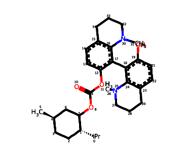 CC(C)[C@@H]1CC[C@@H](C)CC1OC(=O)Oc1ccc2c(c1-c1c(O)ccc3c1N(C)CCC3)N(C)CCC2